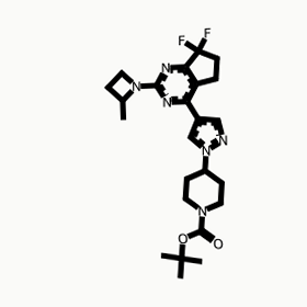 CC1CCN1c1nc(-c2cnn(C3CCN(C(=O)OC(C)(C)C)CC3)c2)c2c(n1)C(F)(F)CC2